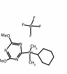 COc1nc(OC)nc([N+](C)(C)C2CCCCC2)n1.F[B-](F)(F)F